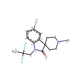 CC(C)N1CCC2(CC1)C(=O)N(CC(C)(F)F)c1ccc(Cl)cc12